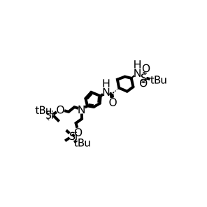 CC(C)(C)[Si](C)(C)OCCN(CCO[Si](C)(C)C(C)(C)C)c1ccc(NC(=O)[C@H]2CC[C@H](NS(=O)(=O)C(C)(C)C)CC2)cc1